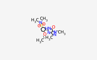 CCCOc1ccc(S(=O)(=O)N(CC)CC)cc1-c1nc2c(C)nn(CC)c2c(=O)[nH]1